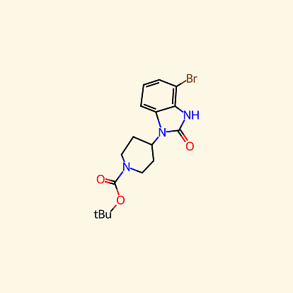 CC(C)(C)OC(=O)N1CCC(n2c(=O)[nH]c3c(Br)cccc32)CC1